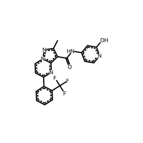 Cc1nn2ccc(-c3ccccc3C(F)(F)F)nc2c1C(=O)Nc1ccnc(O)c1